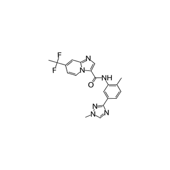 Cc1ccc(-c2ncn(C)n2)cc1NC(=O)c1cnc2cc(C(C)(F)F)ccn12